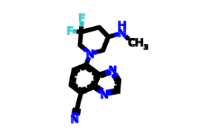 CNC1CN(c2ccc(C#N)c3nccnc23)CC(F)(F)C1